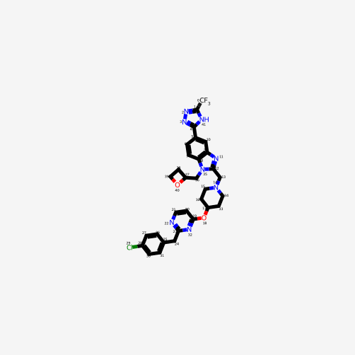 FC(F)(F)c1nnc(-c2ccc3c(c2)nc(CN2CCC(Oc4ccnc(Cc5ccc(Cl)cc5)n4)CC2)n3CC2CCO2)[nH]1